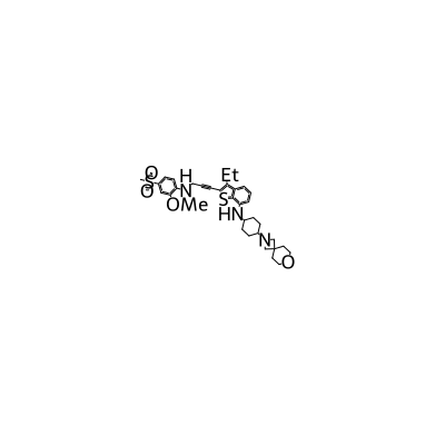 CCc1c(C#CCNc2ccc(S(C)(=O)=O)cc2OC)sc2c(NC3CCC(N4CC5(CCOCC5)C4)CC3)cccc12